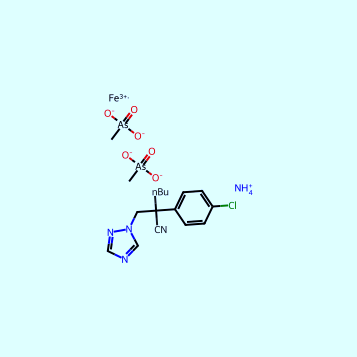 CCCCC(C#N)(Cn1cncn1)c1ccc(Cl)cc1.C[As](=O)([O-])[O-].C[As](=O)([O-])[O-].[Fe+3].[NH4+]